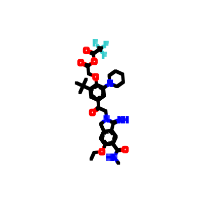 CCOc1cc2c(cc1C(=O)NC)C(=N)N(CC(=O)c1cc(N3CCCCC3)c(OCC(=O)OC(=O)C(F)(F)F)c(C(C)(C)C)c1)C2